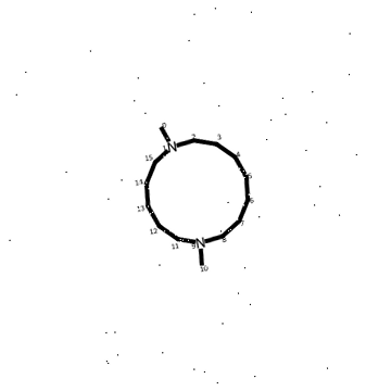 CN1CCCCCCCN(C)CCCCC1